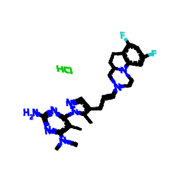 Cc1c(N(C)C)nc(N)nc1-n1ncc(CC=CN2CCN3c4cc(F)cc(F)c4CCC3C2)c1C.Cl